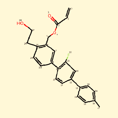 C=CC(=O)OCc1cc(-c2ccc(-c3ccc(C)cc3)cc2F)ccc1CCO